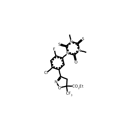 CCOC(=O)C1(C(F)(F)F)CC(c2cc(-n3c(=O)n(C)c(=S)n(C)c3=S)c(F)cc2Cl)=NO1